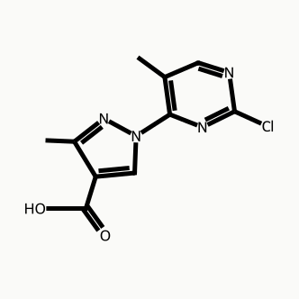 Cc1cnc(Cl)nc1-n1cc(C(=O)O)c(C)n1